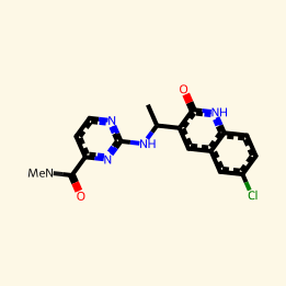 CNC(=O)c1ccnc(NC(C)c2cc3cc(Cl)ccc3[nH]c2=O)n1